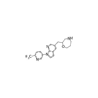 FC(F)(F)c1ccc(-n2ccc3cc(CC4CNCCCO4)cnc32)cn1